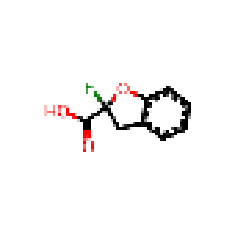 O=C(O)C1(F)Cc2ccccc2O1